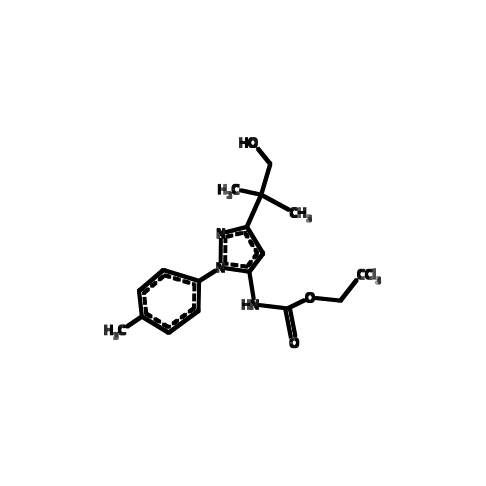 Cc1ccc(-n2nc(C(C)(C)CO)cc2NC(=O)OCC(Cl)(Cl)Cl)cc1